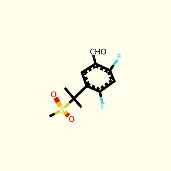 CC(C)(c1cc(C=O)c(F)cc1F)S(C)(=O)=O